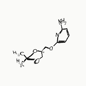 CC1(C)OC[C@H](COc2cccc(N)n2)O1